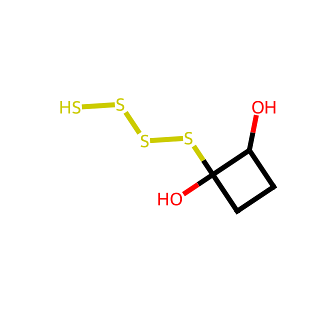 OC1CCC1(O)SSSS